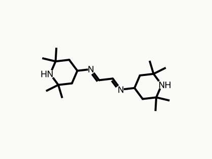 CC1(C)CC(N=CC=NC2CC(C)(C)NC(C)(C)C2)CC(C)(C)N1